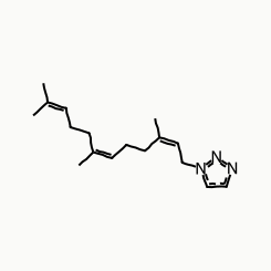 CC(C)=CCCC(C)=CCCC(C)=CCn1ccnn1